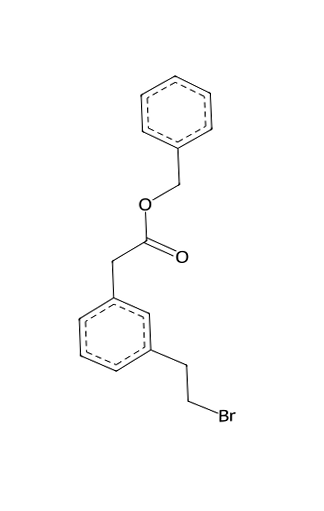 O=C(Cc1cccc(CCBr)c1)OCc1ccccc1